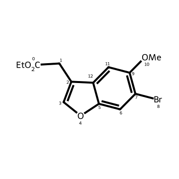 CCOC(=O)Cc1coc2cc(Br)c(OC)cc12